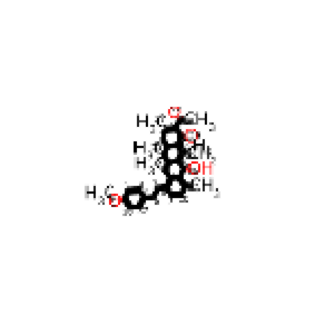 COc1ccc(CCc2ccc(C)c3c2CC2(C)CC4(C)CC(C)=C(C(C)=O)C(=O)C4(C)C(C)=C2C3O)cc1